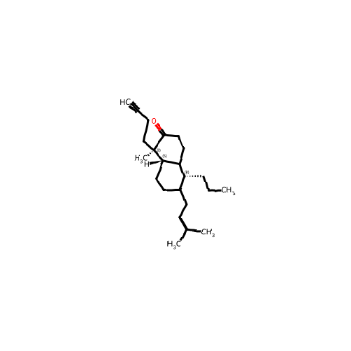 C#CCC[C@@]1(C)C(=O)CCC2[C@H](CCC)C(CCC(C)C)CC[C@@H]21